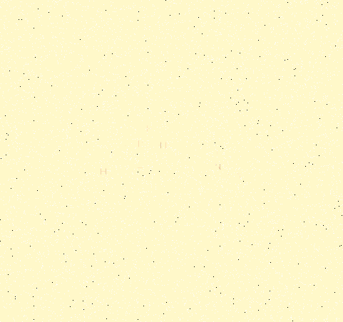 CCCN(CCC)CCc1ccc(OP(=O)(O)O)c(OP(=O)(O)O)c1